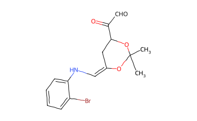 CC1(C)OC(=CNc2ccccc2Br)CC(C(=O)C=O)O1